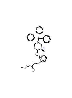 CCOC(=O)CCn1ccc(/C=C2/CN(C(c3ccccc3)(c3ccccc3)c3ccccc3)CCC2=O)n1